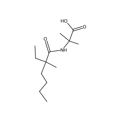 CCCCC(C)(CC)C(=O)NC(C)(C)C(=O)O